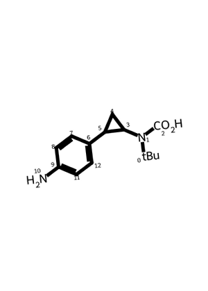 CC(C)(C)N(C(=O)O)C1CC1c1ccc(N)cc1